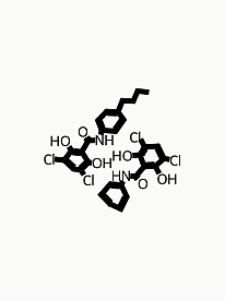 CCCCc1ccc(NC(=O)c2c(O)c(Cl)cc(Cl)c2O)cc1.O=C(Nc1ccccc1)c1c(O)c(Cl)cc(Cl)c1O